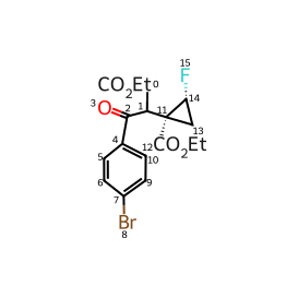 CCOC(=O)C(C(=O)c1ccc(Br)cc1)[C@]1(C(=O)OCC)C[C@H]1F